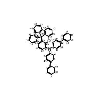 c1ccc(-c2ccc(N(c3ccc(-c4ccccc4)cc3)c3cccc4c3Oc3ccccc3C4(c3ccccc3)c3ccccc3)cc2)cc1